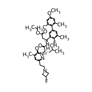 CCOC(=O)C[C@H](NC(=O)[C@H](CC(C)C)n1nc(CCN2CC(F)C2)cc(C)c1=O)c1cc(-c2c(C)cc(OC)cc2C)cc(C)c1F